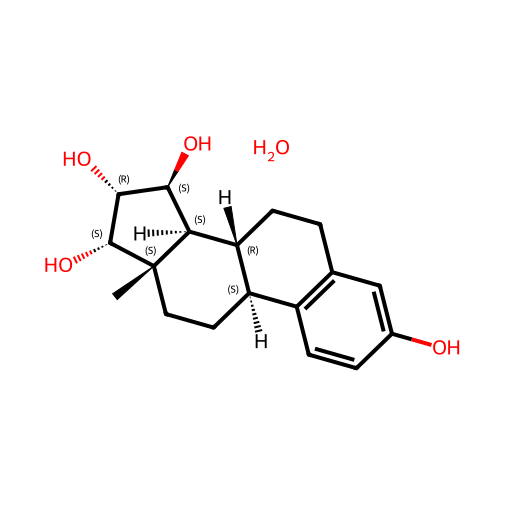 C[C@]12CC[C@@H]3c4ccc(O)cc4CC[C@H]3[C@@H]1[C@H](O)[C@@H](O)[C@H]2O.O